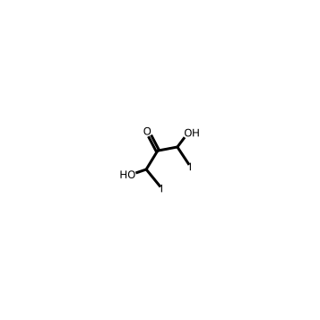 O=C(C(O)I)C(O)I